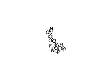 CC(C)CC(NC(c1ccc2c(c1)oc1ccc(N3CCN(C)CC3=O)cc12)C(F)(F)F)C(=O)NC1(C#N)CC1